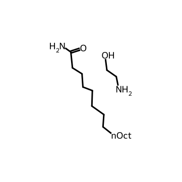 CCCCCCCCCCCCCCCC(N)=O.NCCO